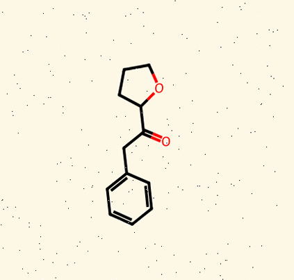 O=C(Cc1ccccc1)C1CCCO1